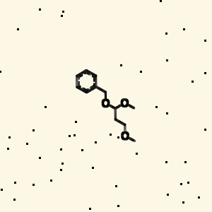 COCCC(OC)OCc1ccccc1